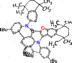 CC(C)(C)c1ccc2c(c1)-c1cc(C(C)(C)C)cc3c1B(c1oc4cc5c(cc4c1N3c1ccc(C(C)(C)C)cc1-c1ccccc1)C(C)(C)CCC5(C)C)N2c1ccc2c(c1)C(C)(C)CCC2(C)C